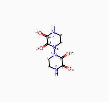 O=C1NCCN(N2CCNC(=O)C2=O)C1=O